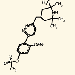 COc1cc(OS(=O)(=O)C(F)(F)F)ccc1-c1ccc(CC2CC(C)(C)NC(C)(C)C2)nn1